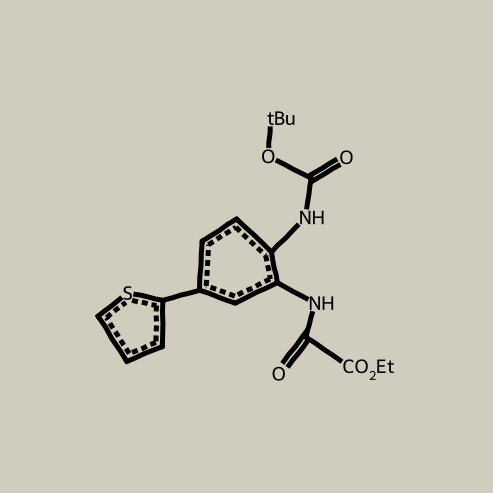 CCOC(=O)C(=O)Nc1cc(-c2cccs2)ccc1NC(=O)OC(C)(C)C